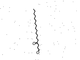 CCCCCCCCCCCCCCC(=O)CC[C]=O